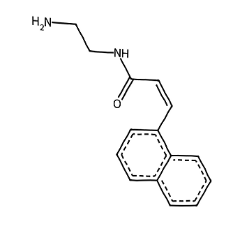 NCCNC(=O)/C=C\c1cccc2ccccc12